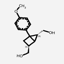 COc1ccc(C23C[C@H](CO)C2[C@H]3CO)cc1